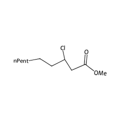 CCCCCCCC(Cl)CC(=O)OC